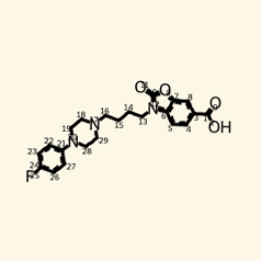 O=C(O)c1ccc2c(c1)oc(=O)n2CCCCN1CCN(c2ccc(F)cc2)CC1